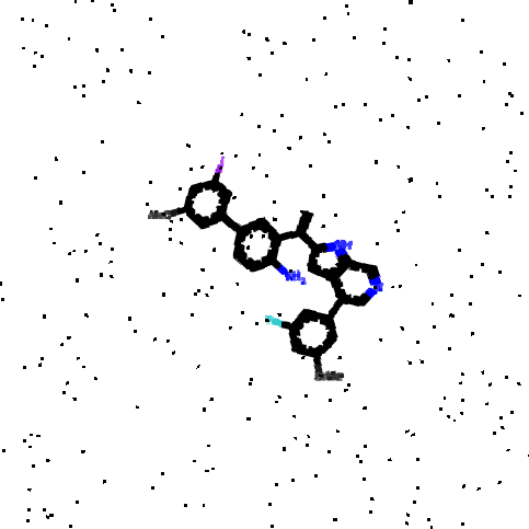 C=C(c1cc2c(-c3cc(F)cc(OC)c3)cncc2[nH]1)c1cc(-c2cc(I)cc(OC)c2)ccc1N